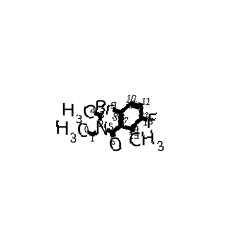 CCN(CC)C(=O)C1=C(Br)C=CC(F)C1C